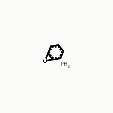 P.c1ccc2c(c1)O2